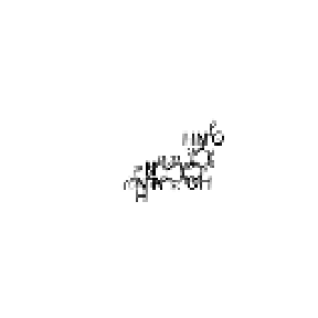 CC(=O)Nc1ccc(C)c(-c2cc3cnc(NC(C)C)nc3cc2O)c1